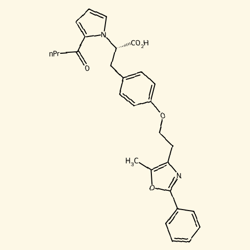 CCCC(=O)c1cccn1[C@@H](Cc1ccc(OCCc2nc(-c3ccccc3)oc2C)cc1)C(=O)O